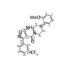 COc1ccccc1N1CCN(C(=O)c2c(-c3cccc(C(F)(F)F)c3)noc2N)CC1